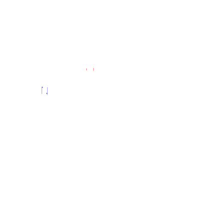 CC=COc1ccccn1